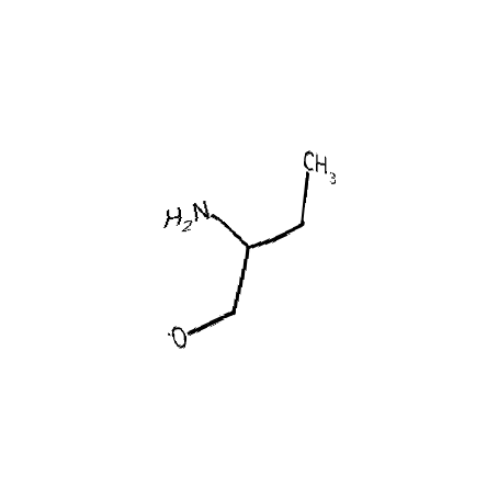 CCC(N)C[O]